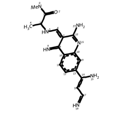 CNC(=O)C(C)N/C=C1\C(=N)c2ccc(/C(N)=C/C=N)cc2N=C1N